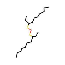 CCCCCCCC(CC)SOSC(CC)CCCCCCC